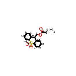 CCC(=O)OCC1c2ccccc2S(=O)(=O)c2ccccc21